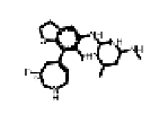 CNC1CC(C)NC(Nc2cc3c(c(C4=CCNC[C@@H](F)C4)c2F)OCC3)N1